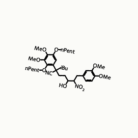 CCCCCOc1cc(C(C#N)(CCC(O)C(Cc2ccc(OC)c(OC)c2)[N+](=O)[O-])C(C)CC)c(OCCCCC)c(OC)c1OC